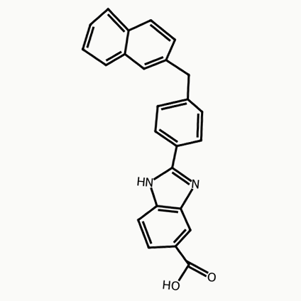 O=C(O)c1ccc2[nH]c(-c3ccc(Cc4ccc5ccccc5c4)cc3)nc2c1